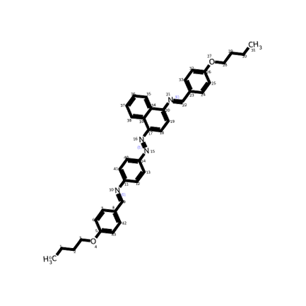 CCCCOc1ccc(/C=N/c2ccc(/N=N/c3ccc(/N=C/c4ccc(OCCCC)cc4)c4ccccc34)cc2)cc1